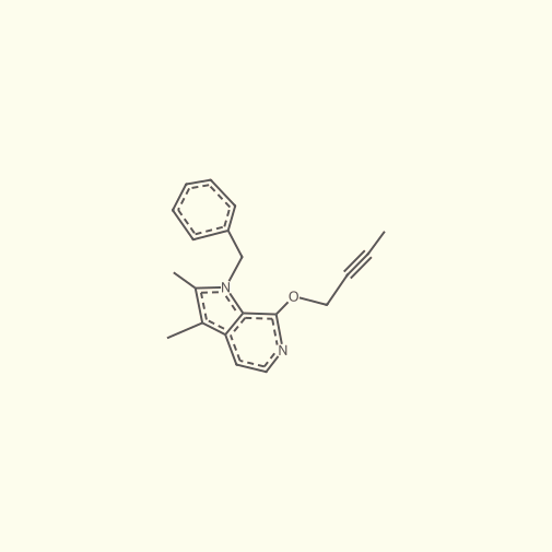 CC#CCOc1nccc2c(C)c(C)n(Cc3ccccc3)c12